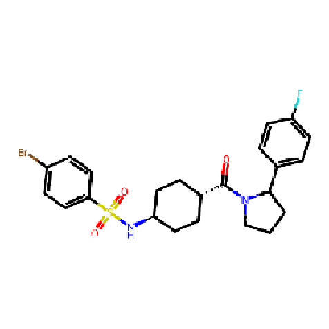 O=C([C@H]1CC[C@H](NS(=O)(=O)c2ccc(Br)cc2)CC1)N1CCCC1c1ccc(F)cc1